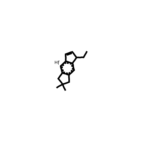 CC[C]1C=Cc2cc3c(cc21)CC(C)(C)C3.[Hf]